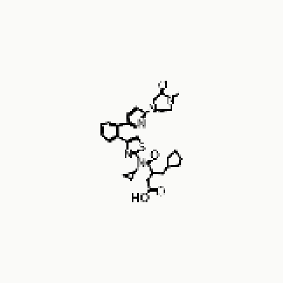 CN1CCN(c2ccc(-c3ccccc3-c3csc(N(C(=O)C(CC(=O)O)CC4CCCC4)C4CC4)n3)cn2)CC1=O